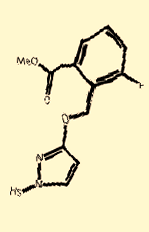 COC(=O)c1cccc(F)c1COc1ccn(S)n1